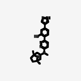 CN(c1ccc(-c2ccc(-c3cn[nH]c3)cc2O)nn1)[C@H]1C[C@]2(C)CC[C@](C)(C1)N2